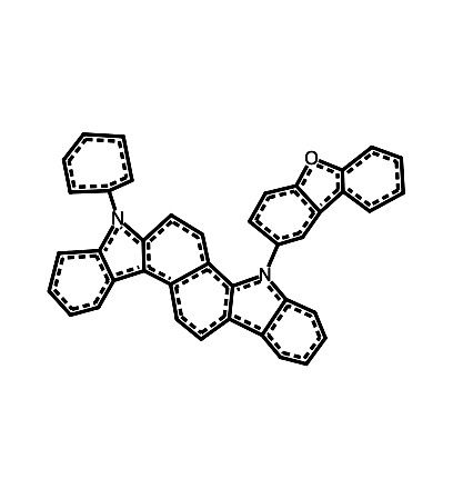 c1ccc(-n2c3ccccc3c3c4ccc5c6ccccc6n(-c6ccc7oc8ccccc8c7c6)c5c4ccc32)cc1